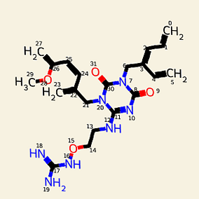 C=C/C=C(\C=C)Cn1c(=O)nc(NCCONC(=N)N)n(CC(=C)/C=C\C(=C)OC)c1=O